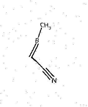 CB=CC#N